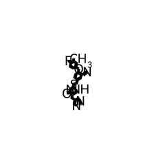 Cc1cc(Oc2ccc(CSc3nc(=O)c(Cc4cncnc4)c[nH]3)cc2C#N)ccc1F